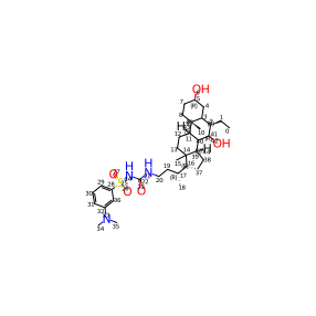 CC[C@@H]1C2C[C@H](O)CC[C@@]2(C)[C@H]2CCC3(C)[C@@H]([C@H](C)CCNC(=O)NS(=O)(=O)c4cccc(N(C)C)c4)CC[C@H]3C2[C@@H]1O